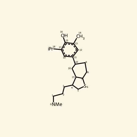 CNCCCC1CSC2CCC(c3cc(C)c(O)c(C(C)C)c3)CC12